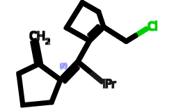 C=C1CCC/C1=C(/C1=C(CCl)CCC1)C(C)C